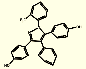 Oc1ccc(-c2nn(-c3ccccc3C(F)(F)F)c(-c3ccc(O)cc3)c2-c2ccccc2)cc1